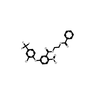 O=C(OCCOC(=O)c1cc(Oc2ccc(C(F)(F)F)cc2Cl)ccc1[N+](=O)[O-])c1ccccc1